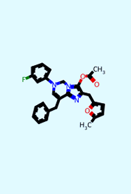 CC(=O)Oc1c(Cc2ccc(C)o2)nc2n1CN(c1cccc(F)c1)C=C2Cc1ccccc1